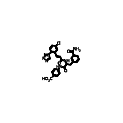 NC(=O)c1cccc(CC(NC(=O)/C=C/c2cc(Cl)ccc2-n2cnnn2)C(=O)Nc2ccc(C(=O)O)cc2)c1